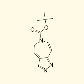 CC(C)(C)OC(=O)N1C=CC2=NN=CC2=CC1